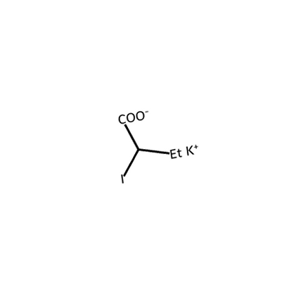 CCC(I)C(=O)[O-].[K+]